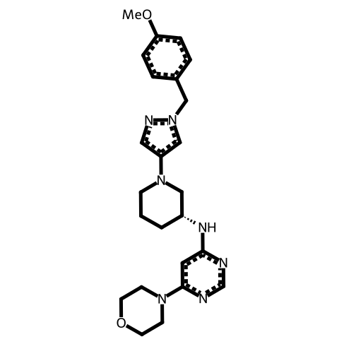 COc1ccc(Cn2cc(N3CCC[C@@H](Nc4cc(N5CCOCC5)ncn4)C3)cn2)cc1